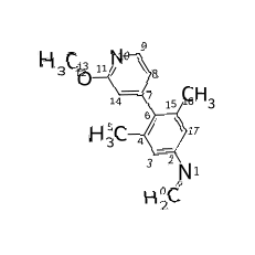 C=Nc1cc(C)c(-c2ccnc(OC)c2)c(C)c1